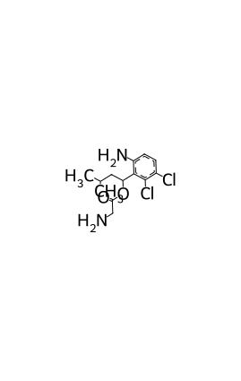 CC(C)CC(OC(=O)CN)c1c(N)ccc(Cl)c1Cl